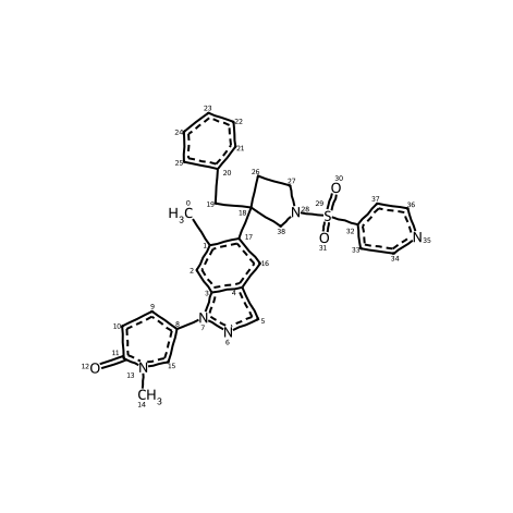 Cc1cc2c(cnn2-c2ccc(=O)n(C)c2)cc1C1(Cc2ccccc2)CCN(S(=O)(=O)c2ccncc2)C1